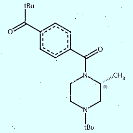 C[C@@H]1CN(C(C)(C)C)CCN1C(=O)c1ccc(C(=O)C(C)(C)C)cc1